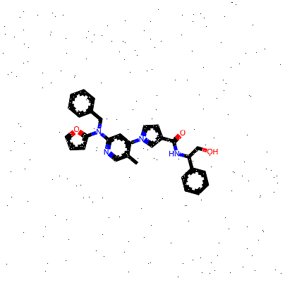 Cc1cnc(N(Cc2ccccc2)c2ccco2)cc1-n1ccc(C(=O)NC(CO)c2ccccc2)c1